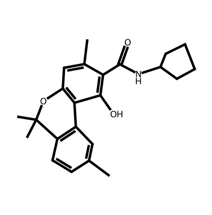 Cc1ccc2c(c1)-c1c(cc(C)c(C(=O)NC3CCCC3)c1O)OC2(C)C